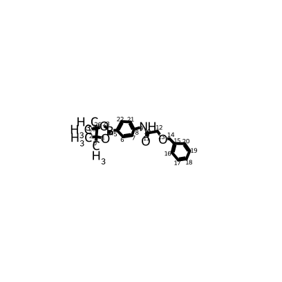 CC1(C)OB(c2ccc(NC(=O)COCc3ccccc3)cc2)OC1(C)C